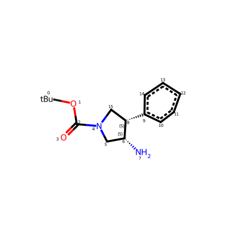 CC(C)(C)OC(=O)N1C[C@@H](N)[C@@H](c2ccccc2)C1